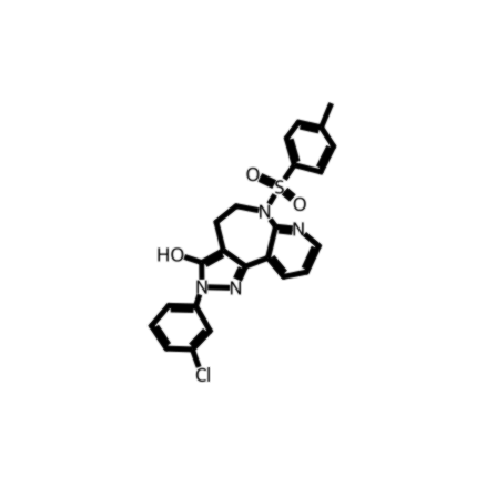 Cc1ccc(S(=O)(=O)N2CCc3c(nn(-c4cccc(Cl)c4)c3O)-c3cccnc32)cc1